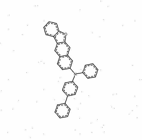 c1ccc(-c2ccc(N(c3ccccc3)c3ccc4cc5c(cc4c3)oc3ccccc35)cc2)cc1